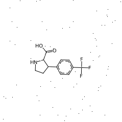 O=C(O)C1NCCC1c1ccc(C(F)(F)F)cc1